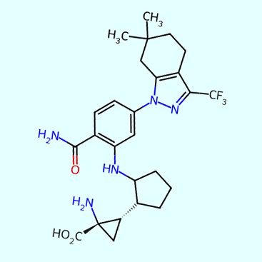 CC1(C)CCc2c(C(F)(F)F)nn(-c3ccc(C(N)=O)c(NC4CCCC4[C@@H]4C[C@@]4(N)C(=O)O)c3)c2C1